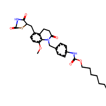 CCCCCCCOC(=O)Nc1ccc(CN2C(=O)CCc3c(CC4SC(=O)NC4=O)ccc(OC)c32)cc1